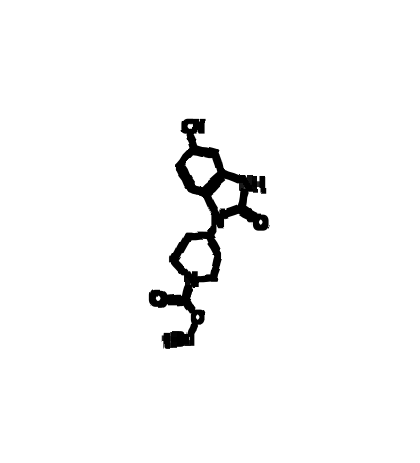 CC(C)(C)OC(=O)N1CCC(n2c(=O)[nH]c3cc(C#N)ccc32)CC1